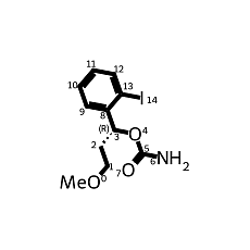 COCC[C@@H](OC(N)=O)c1ccccc1I